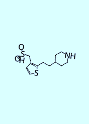 O=[SH](=O)Cc1ccsc1CCC1CCNCC1